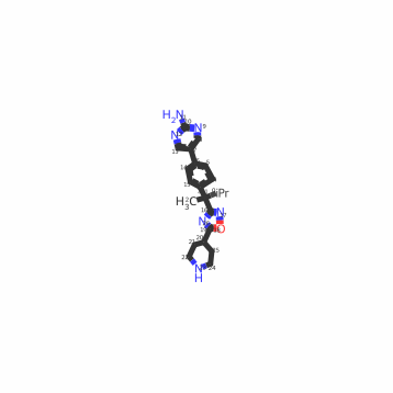 CC(C)C(C)(c1ccc(-c2cnc(N)nc2)cc1)c1noc(C2CCNCC2)n1